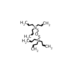 C=CC[Si](CC=C)(CC=C)SOS[Si](CC=C)(CC=C)CC=C